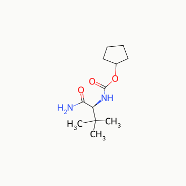 CC(C)(C)[C@H](NC(=O)OC1CCCC1)C(N)=O